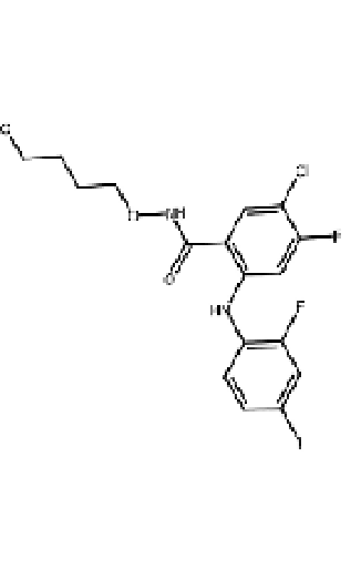 O=C(NOCCCCO)c1cc(Cl)c(F)cc1Nc1ccc(I)cc1F